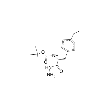 CCc1ccc(C[C@H](NC(=O)OC(C)(C)C)C(=O)NN)cc1